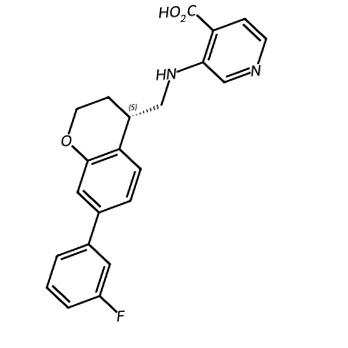 O=C(O)c1ccncc1NC[C@H]1CCOc2cc(-c3cccc(F)c3)ccc21